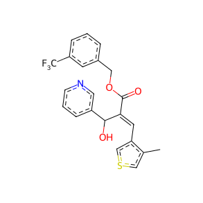 Cc1cscc1C=C(C(=O)OCc1cccc(C(F)(F)F)c1)C(O)c1cccnc1